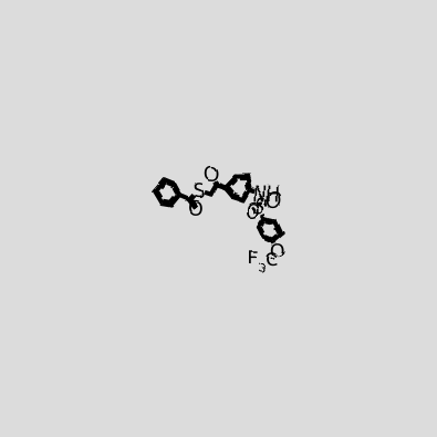 O=C(CSC(=O)c1ccccc1)c1ccc(NS(=O)(=O)c2ccc(OC(F)(F)F)cc2)cc1